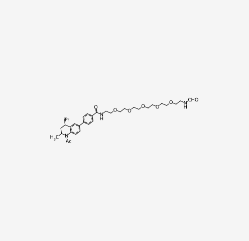 CC(=O)N1c2ccc(-c3ccc(C(=O)NCCOCCOCCOCCOCCOCCNC=O)cc3)cc2C(C(C)C)CC1C